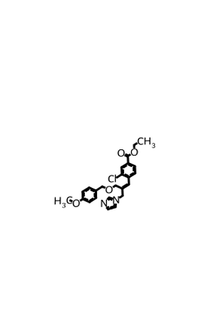 CCOC(=O)c1ccc(/C=C(\COCc2ccc(OC)cc2)Cn2ccnc2)c(Cl)c1